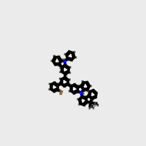 CC1(C)c2ccccc2-c2c(-n3c4ccccc4c4cc(-c5cc(-c6ccc7c(c6)c6ccccc6n7-c6ccccc6)cc(-c6ccccc6Br)c5)ccc43)cccc21